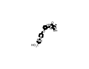 CCCc1nn(C)c2c(=O)[nH]c(-c3cccc(OCC4CCN(c5ncc(C(=O)O)cn5)CC4)c3)nc12